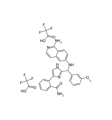 COc1cccc(C(Nc2ccc3c(N)nccc3c2)c2nc(-c3ccccc3C(N)=O)c[nH]2)c1.O=C(O)C(F)(F)F.O=C(O)C(F)(F)F